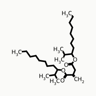 C=C(CC(=O)OC(CCCCCCCC)C(C)C)C(=O)OC(CCCCCCCC)C(C)C